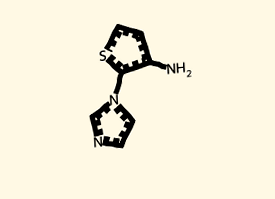 Nc1ccsc1-n1ccnc1